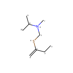 C=C(CC)SCN(C)C(C)C